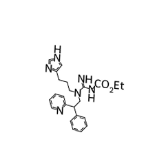 CCOC(=O)NC(=N)N(CCCc1c[nH]cn1)CC(c1ccccc1)c1ccccn1